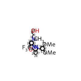 COc1cc(OC)cc(-c2nn(-c3cc(N(C)CCCO)ccc3C(F)(F)F)c(=O)c3c2CCC3)c1